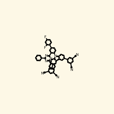 N#Cc1cc(C#N)cc(-c2ccc3c(c2)c2cc(-c4cc(C#N)cc(C#N)c4)ccc2n3-c2ccc(-c3ccc(F)cc3F)cc2-c2nc(-c3ccccc3)nc(-c3ccccc3)n2)c1